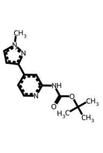 Cn1ccc(-c2ccnc(NC(=O)OC(C)(C)C)c2)n1